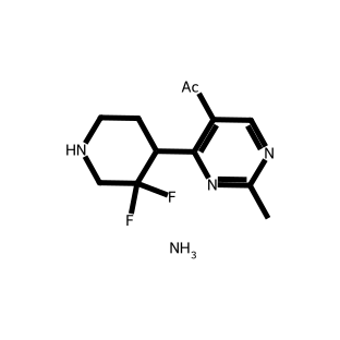 CC(=O)c1cnc(C)nc1C1CCNCC1(F)F.N